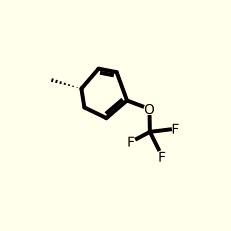 C[C@@H]1C=CC(OC(F)(F)F)=CC1